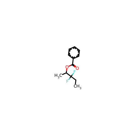 CCC(F)(F)C(C)OC(=O)c1ccccc1